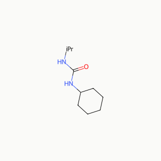 CC(C)NC(=O)NC1CCCCC1